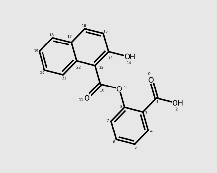 O=C(O)c1ccccc1OC(=O)c1c(O)ccc2ccccc12